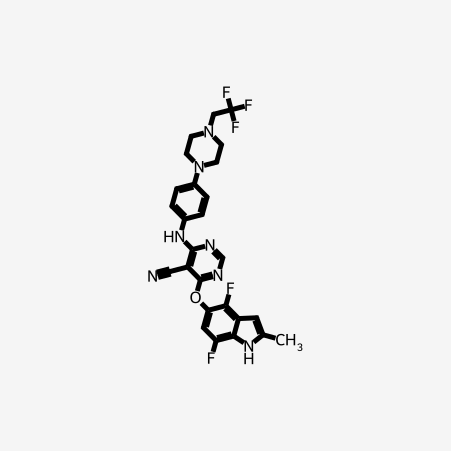 Cc1cc2c(F)c(Oc3ncnc(Nc4ccc(N5CCN(CC(F)(F)F)CC5)cc4)c3C#N)cc(F)c2[nH]1